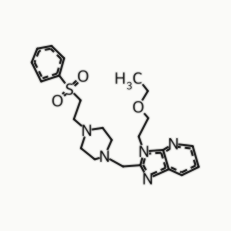 CCOCCn1c(CN2CCN(CCS(=O)(=O)c3ccccc3)CC2)nc2cccnc21